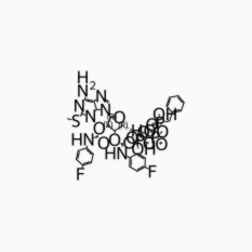 CSc1nc(N)c2ncn([C@@H]3O[C@H](COP(=O)(O)OP(=O)(O)OP(=O)(O)Cc4ccccc4)C(OC(=O)Nc4ccc(F)cc4)[C@@H]3OC(=O)Nc3ccc(F)cc3)c2n1